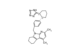 Cc1cc(C)c2c3c(n(Cc4ccc([C@H]5CCCC[C@@H]5c5nnn[nH]5)cc4)c2n1)CCCC3